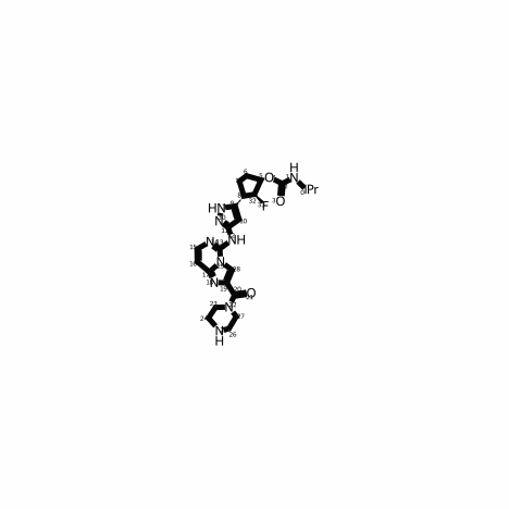 CC(C)NC(=O)O[C@H]1CC[C@@H](c2cc(Nc3nccc4nc(C(=O)N5CCNCC5)cn34)n[nH]2)[C@@H]1F